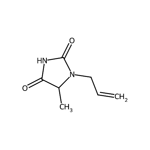 C=CCN1C(=O)NC(=O)C1C